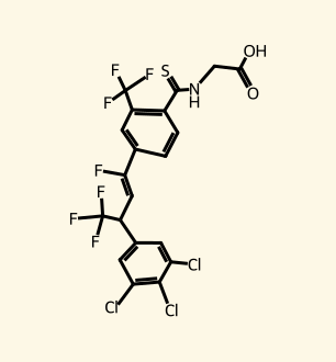 O=C(O)CNC(=S)c1ccc(/C(F)=C/C(c2cc(Cl)c(Cl)c(Cl)c2)C(F)(F)F)cc1C(F)(F)F